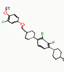 CCOc1ccc(OCC2CCC(c3ccc(C4CCC(CC)CC4)c(F)c3F)CC2)cc1F